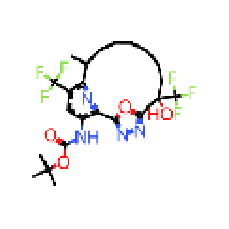 CC1CCCCCCC(O)(C(F)(F)F)c2nnc(o2)-c2nc1c(C(F)(F)F)cc2NC(=O)OC(C)(C)C